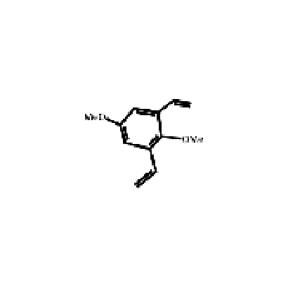 C=Cc1cc(OC)cc(C=C)c1OC